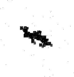 Cc1nc(NS(=O)(=O)CCC(C)(F)F)ccc1-c1nc2cnc(N[C@H]3CC[C@H](N(C)C)C(F)C3)nc2n(C(C)C)c1=O